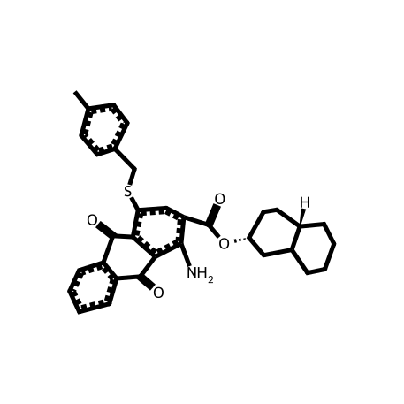 Cc1ccc(CSc2cc(C(=O)O[C@@H]3CC[C@@H]4CCCCC4C3)c(N)c3c2C(=O)c2ccccc2C3=O)cc1